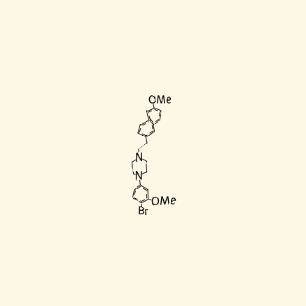 COc1ccc2cc(CCN3CCN(c4ccc(Br)c(OC)c4)CC3)ccc2c1